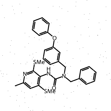 CSc1cc(C)nc(SC)c1NC(=O)N(Cc1ccccc1)Cc1cccc(Oc2ccccc2)c1